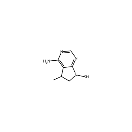 Nc1ncnc2c1C(I)CN2S